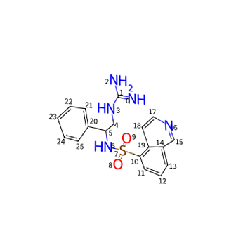 N=C(N)NCC(NS(=O)(=O)c1cccc2cnccc12)c1ccccc1